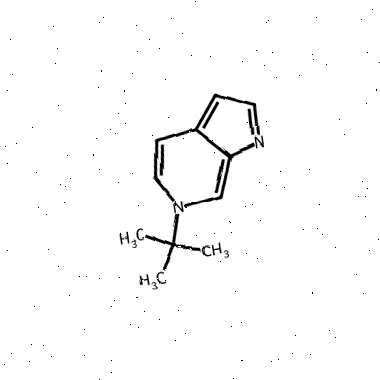 CC(C)(C)n1ccc2ccnc-2c1